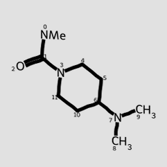 CNC(=O)N1CCC(N(C)C)CC1